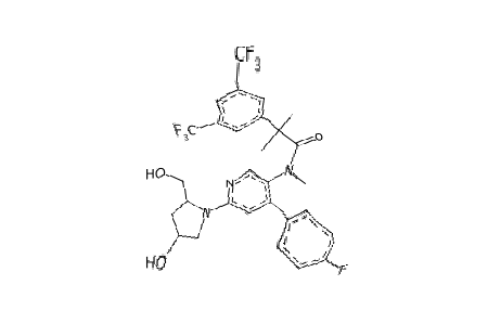 CN(C(=O)C(C)(C)c1cc(C(F)(F)F)cc(C(F)(F)F)c1)c1cnc(N2CC(O)CC2CO)cc1-c1ccc(F)cc1